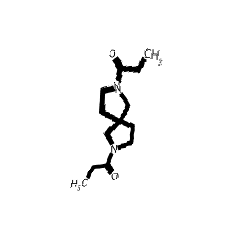 CCC(=O)N1CCC2(CCN(C(=O)CC)C2)C1